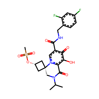 CC(C)N1C[C@]2(C[C@@H](OS(C)(=O)=O)C2)n2cc(C(=O)NCc3ccc(F)cc3F)c(=O)c(O)c2C1=O